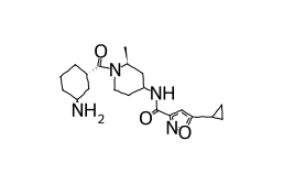 C[C@H]1CC(NC(=O)c2cc(C3CC3)on2)CCN1C(=O)[C@H]1CCC[C@H](N)C1